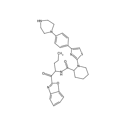 CCCC(NC(=O)C1CCCCN1c1nc(-c2ccc(N3CCNCC3)cc2)cs1)C(=O)c1nc2ccccc2o1